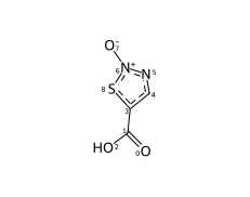 O=C(O)c1cn[n+]([O-])s1